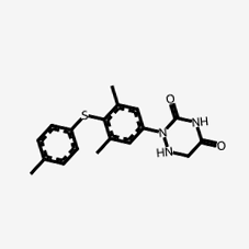 Cc1ccc(Sc2c(C)cc(N3NCC(=O)NC3=O)cc2C)cc1